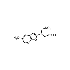 CCOC(=O)CC(C[N+](=O)[O-])c1cc2cc(C)ccc2o1